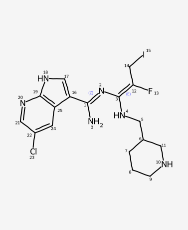 N/C(=N\C(NCC1CCCNC1)=C(\F)CI)c1c[nH]c2ncc(Cl)cc12